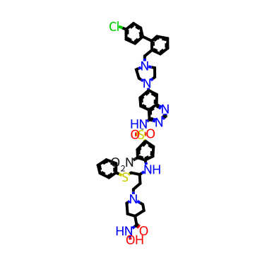 O=C(NO)C1CCN(CCC(CSc2ccccc2)Nc2ccc(S(=O)(=O)Nc3ncnc4cc(N5CCN(Cc6ccccc6-c6ccc(Cl)cc6)CC5)ccc34)cc2[N+](=O)[O-])CC1